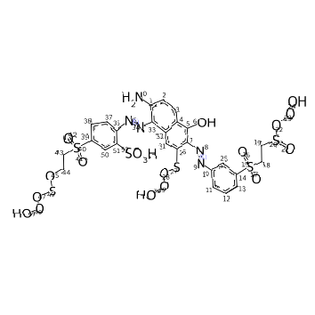 Nc1ccc2c(O)c(/N=N/c3cccc(S(=O)(=O)CCS(=O)OOO)c3)c(SOOO)cc2c1/N=N/c1ccc(S(=O)(=O)CCOSOOO)cc1S(=O)(=O)O